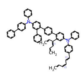 C=C/C=C\C=C\c1ccc(N(c2ccccc2)c2ccc(-c3ccc(-c4ccc(N(c5ccccc5)c5ccc(-c6ccccc6)cc5)cc4-c4ccccc4)cc3)c(/C(C=C)=C/C=C)c2)cc1